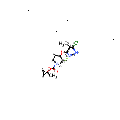 Cc1c(Cl)ncnc1OC1CCN(C(=O)OC2(C)CC2)CC1F